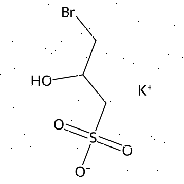 O=S(=O)([O-])CC(O)CBr.[K+]